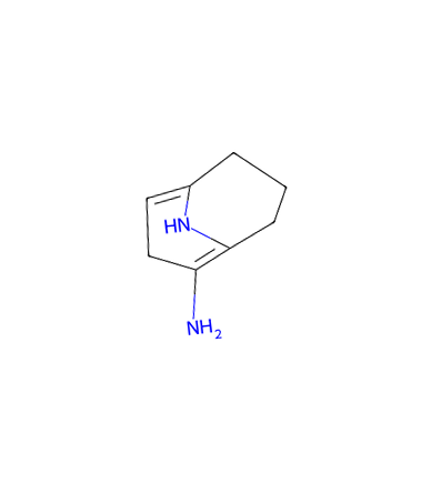 NC1=C2CCCC(=CC1)N2